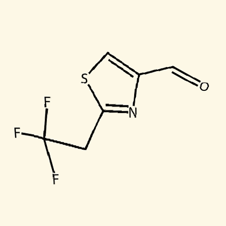 O=Cc1csc(CC(F)(F)F)n1